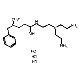 Cl.Cl.Cl.NCCN(CCN)CCNC(O)CCN(Cc1ccccc1)C(=O)O